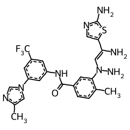 Cc1cn(-c2cc(NC(=O)c3ccc(C)c(N(N)/C=C(\N)c4cnc(N)s4)c3)cc(C(F)(F)F)c2)cn1